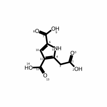 O=C(O)Cc1[nH]c(C(=O)O)cc1C(=O)O